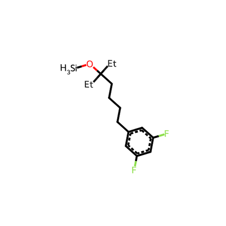 CCC(CC)(CCCCc1cc(F)cc(F)c1)O[SiH3]